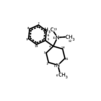 CN1CCC(c2ccccc2)(N(C)C)CC1